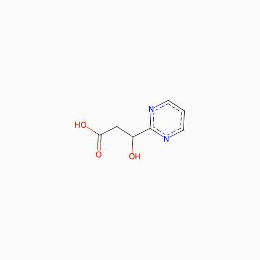 O=C(O)CC(O)c1ncccn1